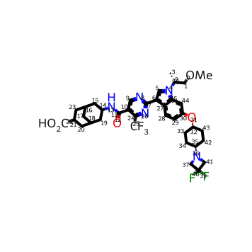 COC[C@@H](C)n1cc(-c2ncc(C(=O)NC3CC4CC(C3)CC(C(=O)O)C4)c(C(F)(F)F)n2)c2ccc(O[C@H]3CC[C@@H](N4CC(F)(F)C4)CC3)cc21